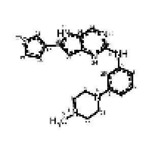 CN1CCN(c2cccc(Nc3ncc4[nH]c(-c5ccsc5)cc4n3)c2)CC1